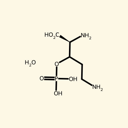 NCCC(OP(=O)(O)O)[C@H](N)C(=O)O.O